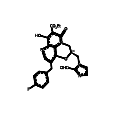 CCOC(=O)c1c(O)c2ncc(Cc3ccc(F)cc3)c3c2n(c1=O)C[C@@H](Cn1ccnc1C=O)O3